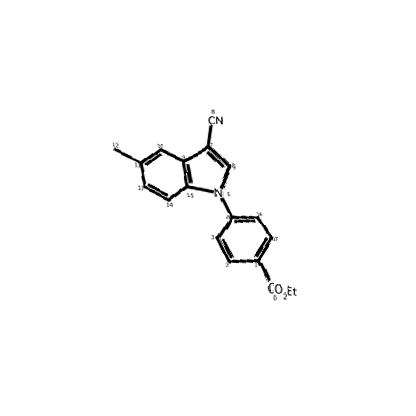 CCOC(=O)c1ccc(-n2cc(C#N)c3cc(C)ccc32)cc1